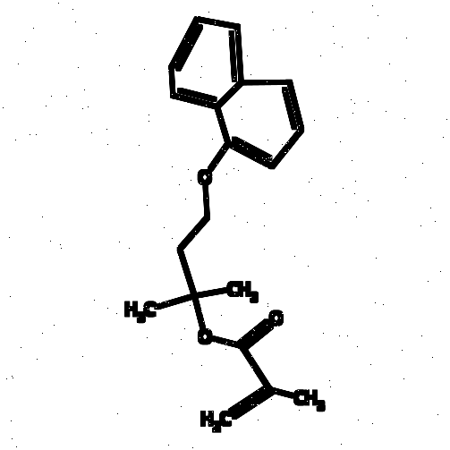 C=C(C)C(=O)OC(C)(C)CCOc1cccc2ccccc12